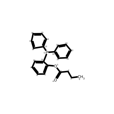 CCCC(=O)Oc1ccccc1P(c1ccccc1)c1ccccc1